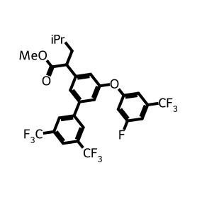 COC(=O)C(CC(C)C)c1cc(Oc2cc(F)cc(C(F)(F)F)c2)cc(-c2cc(C(F)(F)F)cc(C(F)(F)F)c2)c1